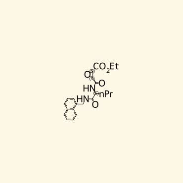 CCC[C@H](NC(=O)[C@H]1O[C@@H]1C(=O)OCC)C(=O)NCc1cccc2ccccc12